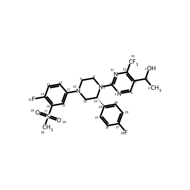 CC(O)c1cnc(N2CCN(c3ccc(F)c(S(C)(=O)=O)c3)C[C@H]2c2ccc(F)cc2)nc1C(F)(F)F